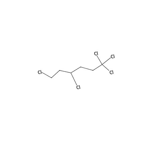 ClCCC(Cl)CCC(Cl)(Cl)Cl